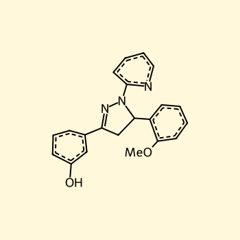 COc1ccccc1C1CC(c2cccc(O)c2)=NN1c1ccccn1